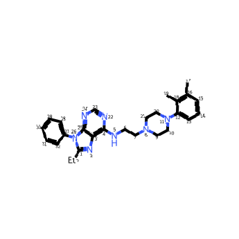 CCc1nc2c(NCCN3CCN(c4cccc(C)c4C)CC3)ncnc2n1-c1ccccc1